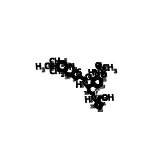 CC(C)(C)[C@H]1CCc2nc3sc(C(=O)NC(CCNC4(CO)CCC4)c4cccc(NS(C)(=O)=O)c4)cc3cc2C1